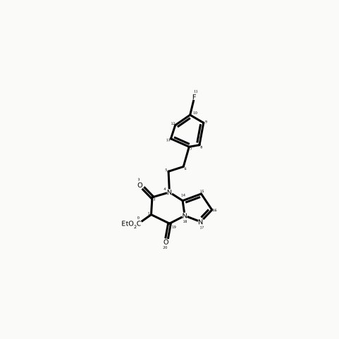 CCOC(=O)C1C(=O)N(CCc2ccc(F)cc2)c2ccnn2C1=O